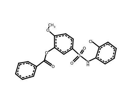 COc1ccc(S(=O)(=O)Nc2ccccc2Cl)cc1OC(=O)c1ccccc1